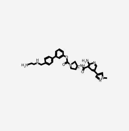 Cn1cc(-c2cnc(N)c(C(=O)N[C@@H]3CCN(C(=O)Oc4cccc(-c5ccc(CNCCN)cc5)c4)C3)c2)cn1